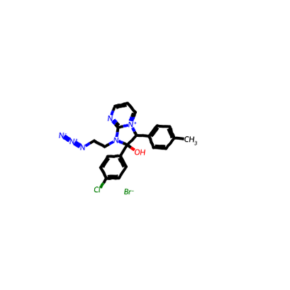 Cc1ccc(C2[n+]3cccnc3N(CCN=[N+]=[N-])C2(O)c2ccc(Cl)cc2)cc1.[Br-]